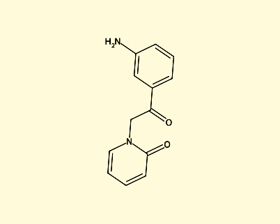 Nc1cccc(C(=O)Cn2ccccc2=O)c1